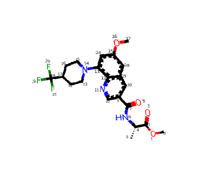 COC(=O)[C@H](C)NC(=O)c1cnc2c(N3CCC(C(F)(F)F)CC3)cc(OC)cc2c1